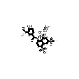 Cc1ccc(C(=O)Nc2ccc(S(=O)(=O)[O-])c3cc(S(=O)(=O)[O-])cc(S(=O)(=O)[O-])c23)cc1[N+](=O)[O-].[Na+].[Na+].[Na+]